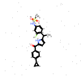 CC(c1ccc(C(=O)c2ccc(C3CC3)cc2)[nH]1)c1ccc(NS(C)(=O)=O)cc1F